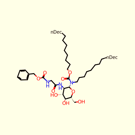 CCCCCCCCCCCCCCCCCCOC(=O)N(CCCCCCCCCCCCCCCCCC)[C@@H]1O[C@H](CO)[C@H](O)[C@H](O)[C@H]1NC(=O)CNC(=O)OCc1ccccc1